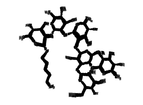 CC1O[C@@H](O[C@H]2C(C(=O)O)O[C@H](OC3C(O)[C@@H](O)C(C)O[C@H]3OC3C(O)[C@@H](O)C(C)O[C@H]3OC3C(O)[C@@H](O)C(C)O[C@H]3OCCCCCN)C(O)C2O[C@@H]2OC(CO)[C@H](O)C(O)C2O)C(O)C(O)[C@H]1O